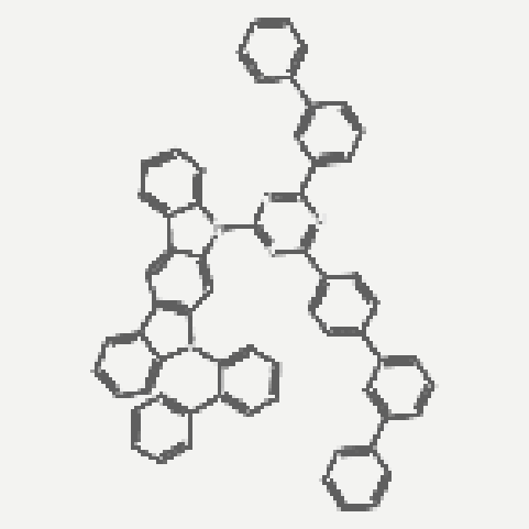 c1ccc(-c2cccc(-c3ccc(-c4nc(-c5cccc(-c6ccccc6)c5)nc(-n5c6ccccc6c6cc7c8ccccc8n(-c8ccccc8-c8ccccc8)c7cc65)n4)cc3)c2)cc1